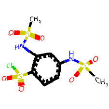 CS(=O)(=O)Nc1ccc(S(=O)(=O)Cl)c(NS(C)(=O)=O)c1